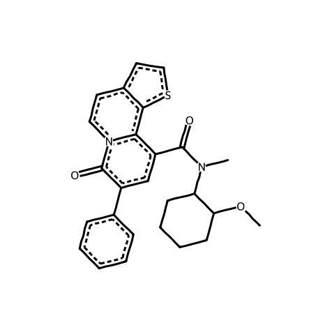 COC1CCCCC1N(C)C(=O)c1cc(-c2ccccc2)c(=O)n2ccc3ccsc3c12